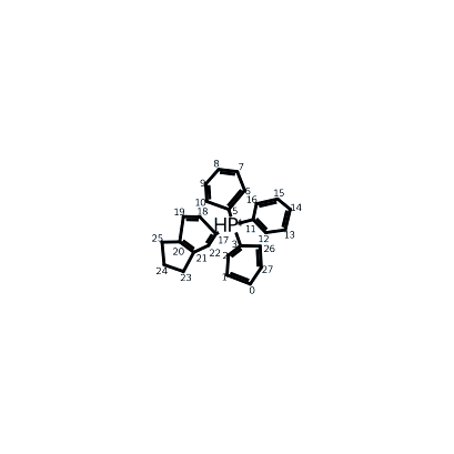 c1ccc([PH](c2ccccc2)(c2ccccc2)c2ccc3c(c2)CCC3)cc1